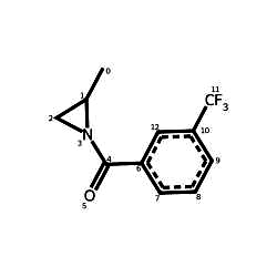 CC1CN1C(=O)c1cccc(C(F)(F)F)c1